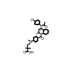 CC(=O)N(c1ccc(Cl)cc1)[C@@H]1C[C@H](C)N(C(=O)c2ccc(N(C)CCC(C)(C)C(=O)O)cc2)c2ccccc21